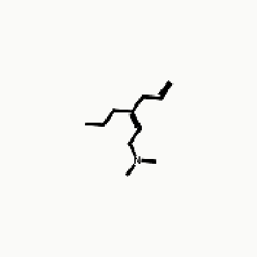 C=CCC(=CCN(C)C)CCC